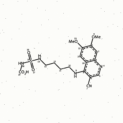 COc1cc2ncc(C#N)c(NCCCCNS(=O)(=O)NC(=O)O)c2cc1OC